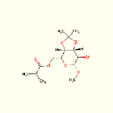 CO[C@@H]1O[C@H](COC(=O)C(C)C)[C@@H]2OC(C)(C)O[C@@H]2[C@H]1O